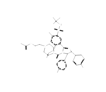 CCOc1cc(Cl)c(S(=O)(=O)NC(C)(C)C)cc1C1=N[C@@](C)(C2C=CC(Cl)=CC2)[C@@](C)(c2ccc(Cl)cc2)N1C(=O)N1CCN(CCNC(C)=O)CC1